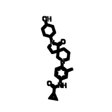 Cc1cc(NC(=O)C2CC2)ccc1N1CCCC2(CCN(C3CCC(O)CC3)C2=O)C1